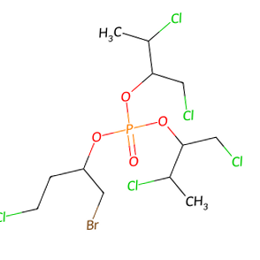 CC(Cl)C(CCl)OP(=O)(OC(CBr)CCCl)OC(CCl)C(C)Cl